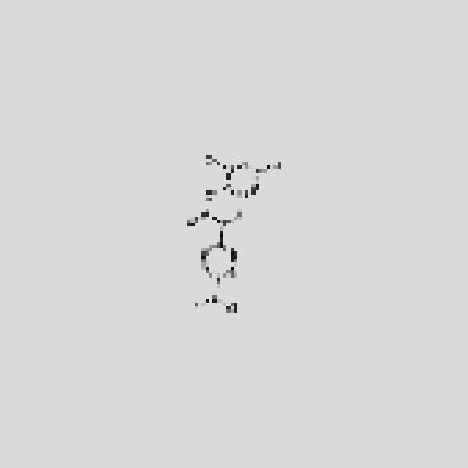 O=C(Cl)c1ccc(N2Cc3cc(Cl)cc(Cl)c3OC2=O)cn1